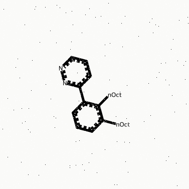 CCCCCCCCc1cccc(-c2cccnn2)c1CCCCCCCC